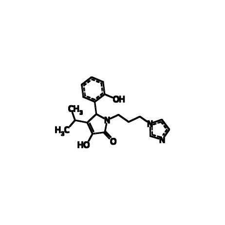 CC(C)C1=C(O)C(=O)N(CCCn2ccnc2)C1c1ccccc1O